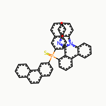 S=P(c1ccc2ccccc2c1)(c1ccc2ccc3ccccc3c2c1)c1cccc2c3ccccc3n3c4ccccc4nc3c12